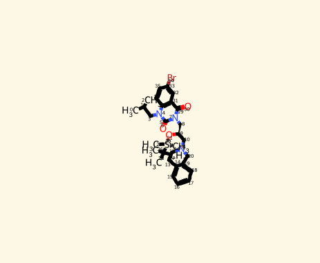 CC(C)Cn1c(=O)n(C[C@@H](CN2CCc3ccccc3C2)O[Si](C)(C)C(C)(C)C)c(=O)c2cc(Br)ccc21